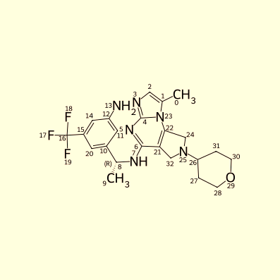 Cc1cnc2nc(N[C@H](C)c3cc(N)cc(C(F)(F)F)c3)c3c(n12)CN(C1CCOCC1)C3